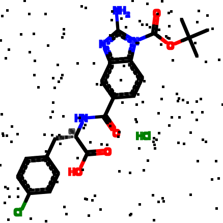 CC(C)(C)OC(=O)n1c(N)nc2cc(C(=O)N[C@@H](Cc3ccc(Cl)cc3)C(=O)O)ccc21.Cl